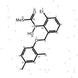 CCc1cccc(COc2ccc(C)cc2C)c1N(O)C(=O)SC